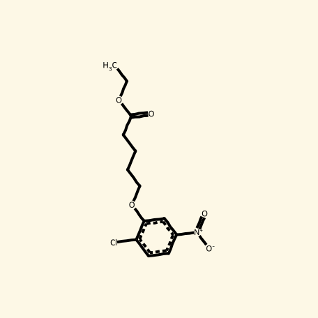 CCOC(=O)CCCCOc1cc([N+](=O)[O-])ccc1Cl